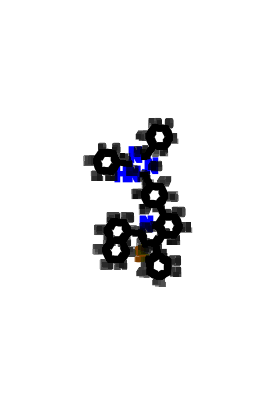 c1ccc(C2=NC(c3ccccc3)NC(c3ccc(-c4cccc5c4nc(-c4cccc6ccccc46)c4sc6ccccc6c45)cc3)=N2)cc1